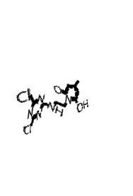 Cc1cc(O)n(CCNc2nc(Cl)nc(Cl)n2)c(=O)c1